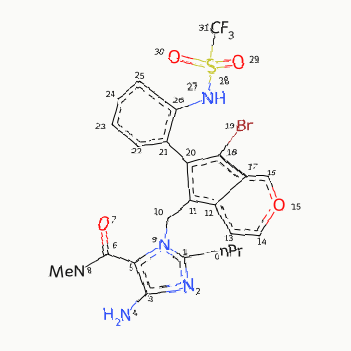 CCCc1nc(N)c(C(=O)NC)n1Cc1c2ccocc-2c(Br)c1-c1ccccc1NS(=O)(=O)C(F)(F)F